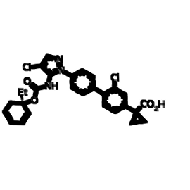 CC[C@]1(OC(=O)Nc2c(Cl)cnn2-c2ccc(-c3ccc(C4(C(=O)O)CC4)cc3Cl)cc2)C=CC=CC1